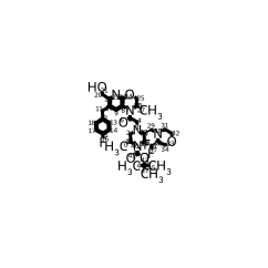 C[C@@H]1CN(CC(=O)N2c3cc(Cc4ccc(F)cc4)c(CO)nc3OC[C@@H]2C)[C@@H](CN2CCOC[C@H]2C(F)F)CN1C(=O)OC(C)(C)C